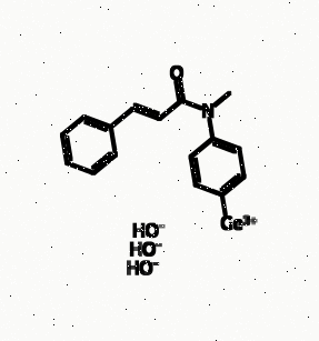 CN(C(=O)C=Cc1ccccc1)c1cc[c]([Ge+3])cc1.[OH-].[OH-].[OH-]